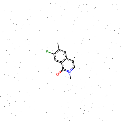 Cc1cc2ccn(C)c(=O)c2cc1F